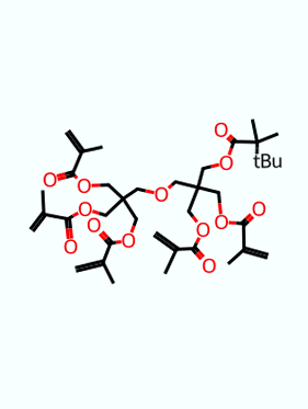 C=C(C)C(=O)OCC(COCC(COC(=O)C(=C)C)(COC(=O)C(=C)C)COC(=O)C(C)(C)C(C)(C)C)(COC(=O)C(=C)C)COC(=O)C(=C)C